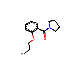 CC(C)CCOc1ccccc1C(=O)N1CCCC1